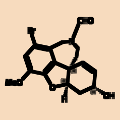 COc1cc(Br)c2c3c1O[C@@H]1C[C@@H](O)C=C[C@]31CCN(C=O)C2